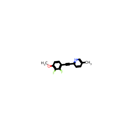 COc1ccc(C#Cc2ccc(C)cn2)c(F)c1F